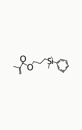 C=C(C)C(=O)OCCC[Si](C)(C)c1ccccc1